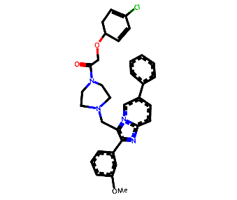 COc1cccc(-c2nc3ccc(-c4ccccc4)cn3c2CN2CCN(C(=O)COC3C=CC(Cl)=CC3)CC2)c1